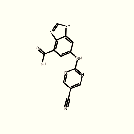 N#Cc1cnc(Nc2cc(C(=O)O)c3nc[nH]c3c2)nc1